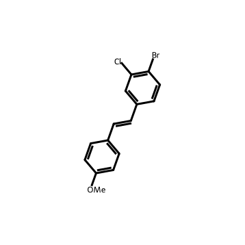 COc1ccc(/C=C/c2ccc(Br)c(Cl)c2)cc1